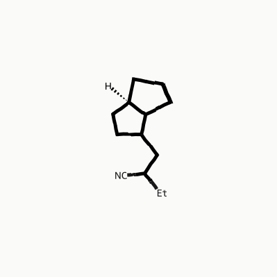 CCC(C#N)CC1CC[C@H]2CCCC12